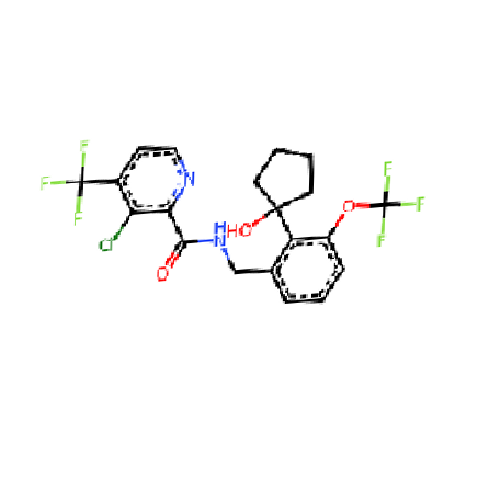 O=C(NCc1cccc(OC(F)(F)F)c1C1(O)CCCC1)c1nccc(C(F)(F)F)c1Cl